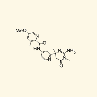 COc1cnc(C(=O)Nc2ccnc(C3(C)CC(=O)N(C)C(N)=N3)c2)c(C)c1